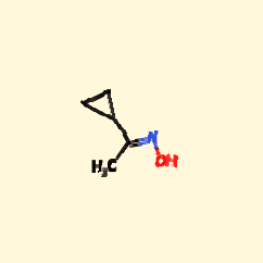 CC(=NO)C1CC1